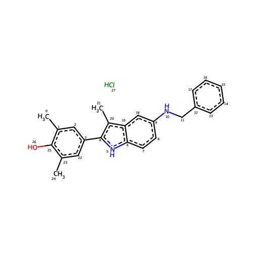 Cc1cc(-c2[nH]c3ccc(NCc4ccccc4)cc3c2C)cc(C)c1O.Cl